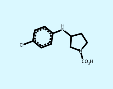 O=C(O)N1CCC(Nc2ccc(Cl)cc2)C1